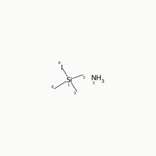 C[Si](C)(C)I.N